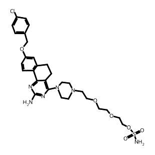 Nc1nc2c(c(N3CCN(CCOCCOCCOS(N)(=O)=O)CC3)n1)CCc1cc(OCc3ccc(Cl)cc3)ccc1-2